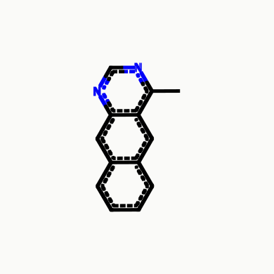 Cc1ncnc2cc3ccccc3cc12